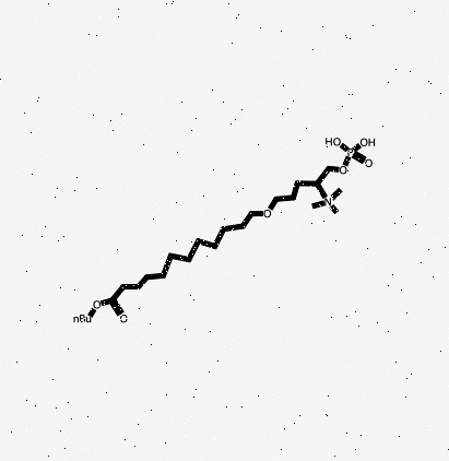 CCCCOC(=O)CCCCCCCCCCCOCCCC(COP(=O)(O)O)[N+](C)(C)C